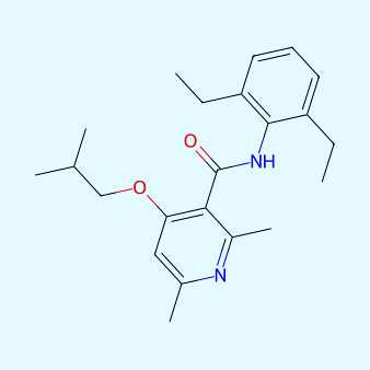 CCc1cccc(CC)c1NC(=O)c1c(OCC(C)C)cc(C)nc1C